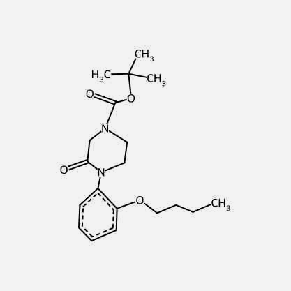 CCCCOc1ccccc1N1CCN(C(=O)OC(C)(C)C)CC1=O